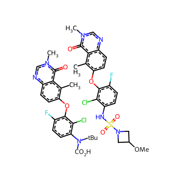 COC1CN(S(=O)(=O)Nc2ccc(F)c(Oc3ccc4ncn(C)c(=O)c4c3C)c2Cl)C1.Cc1c(Oc2c(F)ccc(N(C(=O)O)C(C)(C)C)c2Cl)ccc2ncn(C)c(=O)c12